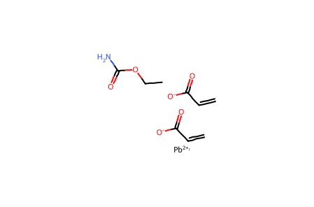 C=CC(=O)[O-].C=CC(=O)[O-].CCOC(N)=O.[Pb+2]